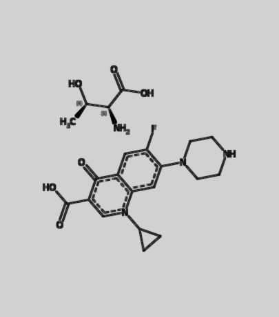 C[C@@H](O)[C@H](N)C(=O)O.O=C(O)c1cn(C2CC2)c2cc(N3CCNCC3)c(F)cc2c1=O